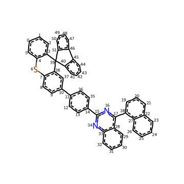 c1ccc2c(c1)Sc1ccc(-c3ccc(-c4nc(-c5cccc6ccccc56)c5ccccc5n4)cc3)cc1C21c2ccccc2-c2ccccc21